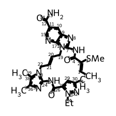 C/C=C(\SC)C(=O)Nc1nc2cc(C(N)=O)cnc2n1C/C=C/Cn1c(NC(=O)c2cc(C)nn2CC)nc(C)c1C